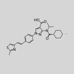 Cc1nc(/C=C/c2ccc(-n3cc(C(=O)O)c(N(C(=O)[C@H]4CC[C@H](C)CC4)C(C)C)n3)cc2)cs1